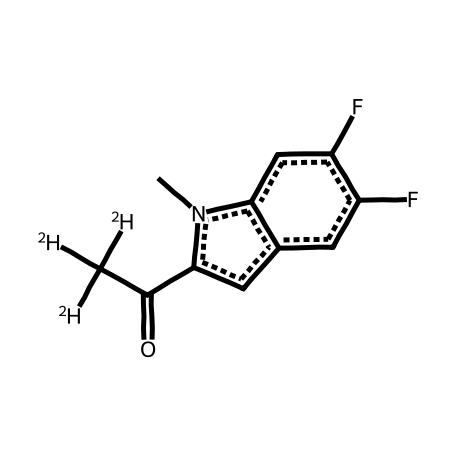 [2H]C([2H])([2H])C(=O)c1cc2cc(F)c(F)cc2n1C